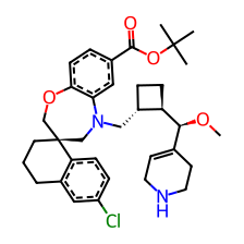 CO[C@@H](C1=CCNCC1)[C@@H]1CC[C@H]1CN1C[C@@]2(CCCc3cc(Cl)ccc32)COc2ccc(C(=O)OC(C)(C)C)cc21